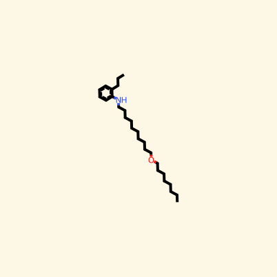 CCCCCCCCOCCCCCCCCCCNc1ccccc1CCC